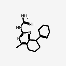 Cc1nc(NC(=N)N)nc2c1CCCC2C1=CCCCC1